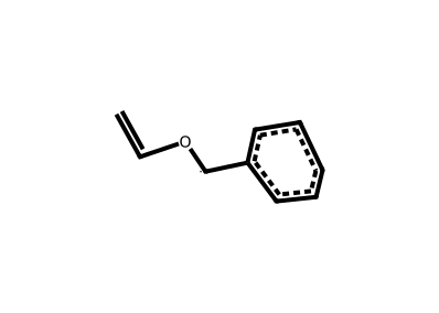 C=CO[CH]c1ccccc1